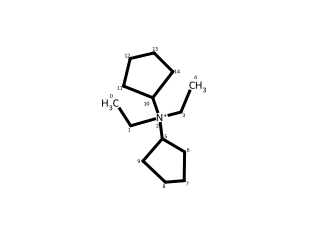 CC[N+](CC)(C1CCCC1)C1CCCC1